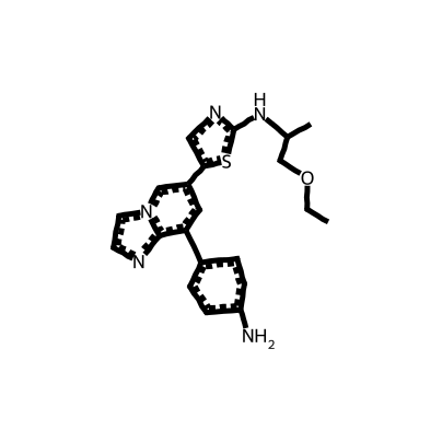 CCOCC(C)Nc1ncc(-c2cc(-c3ccc(N)cc3)c3nccn3c2)s1